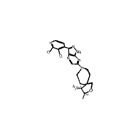 C[C@@H]1OCC2(CCN(c3cnc4c(-c5ccnc(Cl)c5Cl)n[nH]c4n3)CC2)[C@@H]1N